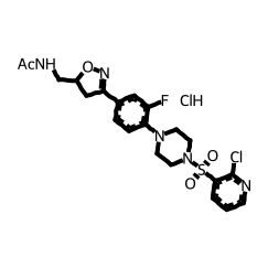 CC(=O)NCC1CC(c2ccc(N3CCN(S(=O)(=O)c4cccnc4Cl)CC3)c(F)c2)=NO1.Cl